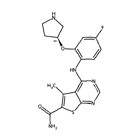 Cc1c(C(N)=O)sc2ncnc(Nc3ccc(F)cc3O[C@H]3CCNC3)c12